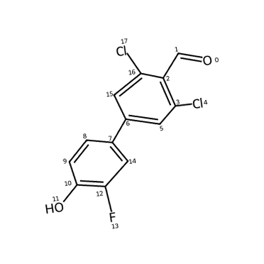 O=Cc1c(Cl)cc(-c2ccc(O)c(F)c2)cc1Cl